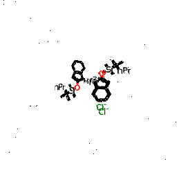 CCCC(C)(C)[Si](C)(C)OC1=CC2=C(CCCC2)[C@@H]1[Hf+2][C@H]1C(O[Si](C)(C)C(C)(C)CCC)=CC2=C1CCCC2.[Cl-].[Cl-]